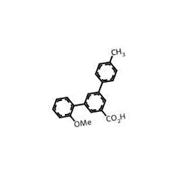 COc1ccccc1-c1cc(C(=O)O)cc(-c2ccc(C)cc2)c1